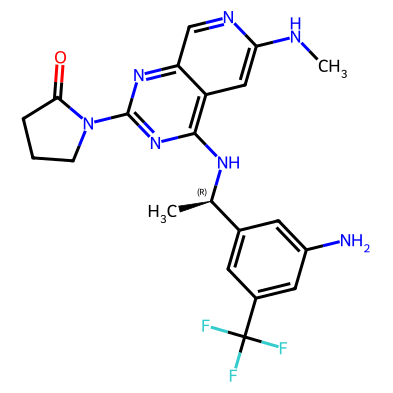 CNc1cc2c(N[C@H](C)c3cc(N)cc(C(F)(F)F)c3)nc(N3CCCC3=O)nc2cn1